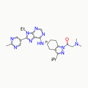 CCn1c(-c2cnc(C)nc2)nc2c(N[C@@H]3CCc4c(c(C(C)C)nn4C(=O)CN(C)C)C3)ncnc21